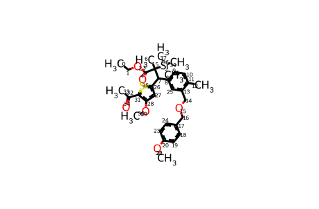 CCOC(=O)C(C)(C(c1ccc(C)c(COCc2ccc(OC)cc2)c1)c1cc(OC)c(C(C)=O)s1)[Si](C)(C)C